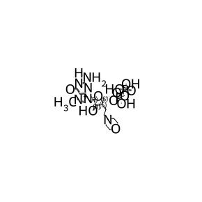 C[n+]1cn([C@@H]2O[C@H](COP(=O)(O)OP(=O)(O)O)[C@@H](CCN3CCOCC3)[C@H]2O)c2nc(N)[nH]c(=O)c21